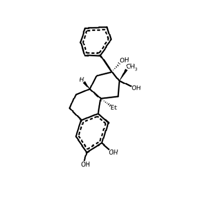 CC[C@@]12C[C@@](C)(O)[C@](O)(c3ccccc3)C[C@H]1CCc1cc(O)c(O)cc12